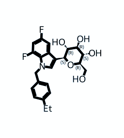 CCc1ccc(Cn2cc([C@@H]3O[C@H](CO)[C@@H](O)[C@H](O)[C@H]3O)c3cc(F)cc(F)c32)cc1